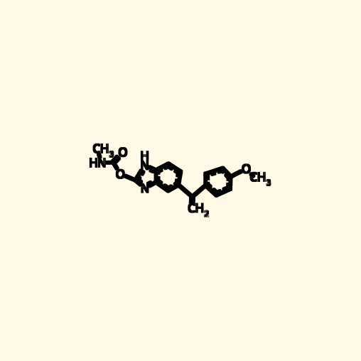 C=C(c1ccc(OC)cc1)c1ccc2[nH]c(OC(=O)NC)nc2c1